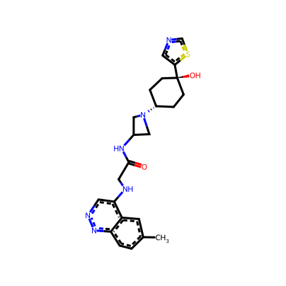 Cc1ccc2nncc(NCC(=O)NC3CN([C@H]4CC[C@@](O)(c5cncs5)CC4)C3)c2c1